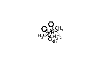 C=C[Si](C)(C)c1ccccc1.C=C[Si](C)(C)c1ccccc1.[Cl][Rh]